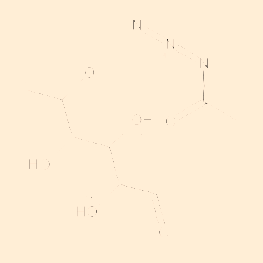 CC(=O)N=[N+]=[N-].CC(O)C(O)C(O)C(O)C=O